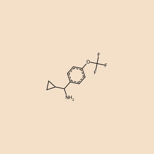 NC(c1ccc(OC(F)(F)F)cc1)C1CC1